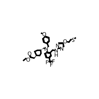 CCOC(=O)C[C@H]1CC[C@H](CN(Cc2ccc(OC)cc2)c2ccc(C(F)(F)F)cc2CNc2ncc(OCCSC)cn2)CC1